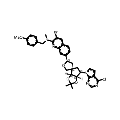 COc1ccc(CN(C)c2nc3cc([C@H]4C[C@@]5(CO4)C[C@@H](n4ccc6c(Cl)ncnc64)[C@@H]4OC(C)(C)O[C@@H]45)ccc3cc2Br)cc1